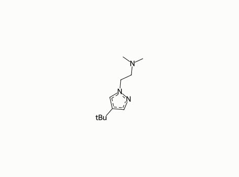 CN(C)CCn1cc(C(C)(C)C)cn1